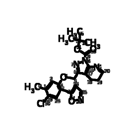 Cc1cc(OCc2nn(C(=O)OC(C)(C)C)c3c2CCC=N3)c(-c2ccno2)cc1Cl